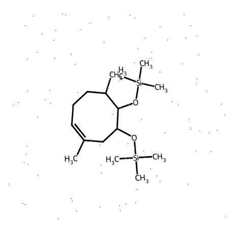 CC1=CCCC(C)C(O[Si](C)(C)C)C(O[Si](C)(C)C)C1